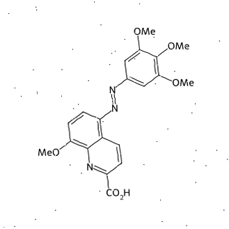 COc1cc(/N=N/c2ccc(OC)c3nc(C(=O)O)ccc23)cc(OC)c1OC